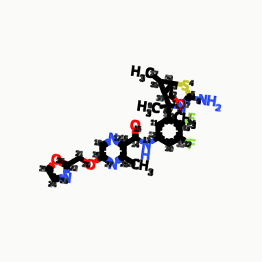 COC[C@@]12SC(N)=N[C@](C)(c3cc(NC(=O)c4ncc(OCc5ncco5)nc4C)cc(F)c3F)C1C2C